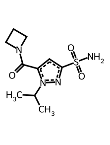 CC(C)n1nc(S(N)(=O)=O)cc1C(=O)N1CCC1